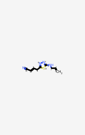 C=CCNc1nnc(CC=CC#N)s1